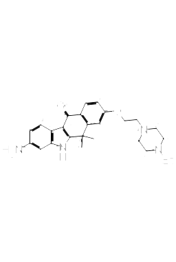 CCN1CCN(CCOc2ccc3c(c2)C(C)(C)c2[nH]c4cc(N)ccc4c2C3=O)CC1